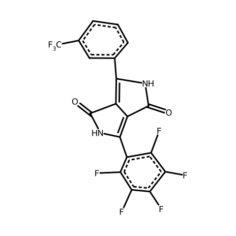 O=C1NC(c2c(F)c(F)c(F)c(F)c2F)=C2C(=O)NC(c3cccc(C(F)(F)F)c3)=C12